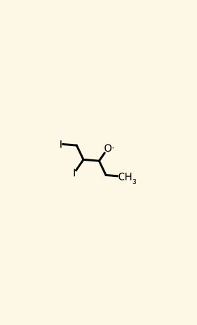 CCC([O])C(I)CI